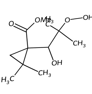 COC(=O)C1(C(O)C(C)(C)OO)CC1(C)C